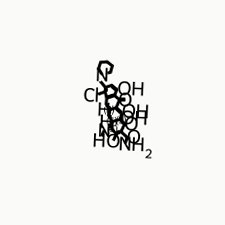 CN(C)[C@@H]1C(O)=C(C(N)=O)C(=O)[C@@]2(O)C(O)=C3C(=O)c4c(O)cc(CN5CCCCC5)c(Cl)c4C[C@H]3C[C@@H]12